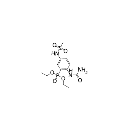 CCOP(=O)(OCC)c1cc(NS(C)(=O)=O)ccc1NC(N)=O